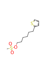 CS(=O)(=O)OCCCCCCc1cccs1